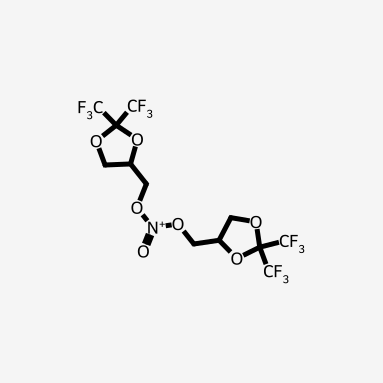 O=[N+](OCC1COC(C(F)(F)F)(C(F)(F)F)O1)OCC1COC(C(F)(F)F)(C(F)(F)F)O1